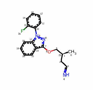 C[C@@H](CC=N)COc1nn(-c2ccccc2F)c2ccccc12